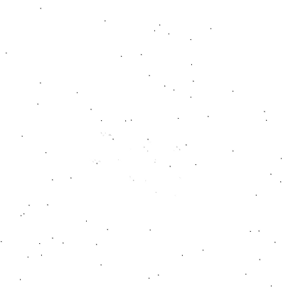 COc1nc2cccc([N+](=O)[O-])c2nc1OC